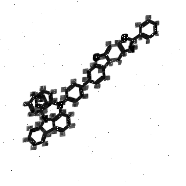 c1ccc(-c2nc3cc4c(cc3o2)oc2cc(-c3ccc(N(c5ccccc5)c5cccc6c7ccccc7n(-c7ccccc7)c56)cc3)ccc24)cc1